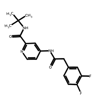 CC(C)(C)NC(=O)c1cc(NC(=O)Cc2ccc(F)c(F)c2)ccn1